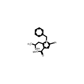 COC(=O)c1cc(C(C)C)n(Cc2ccccc2)c1CC(C)SC